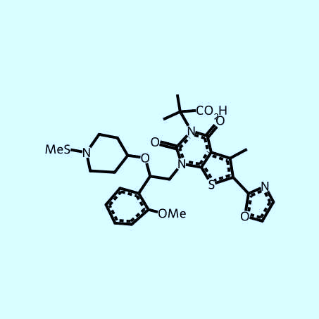 COc1ccccc1C(Cn1c(=O)n(C(C)(C)C(=O)O)c(=O)c2c(C)c(-c3ncco3)sc21)OC1CCN(SC)CC1